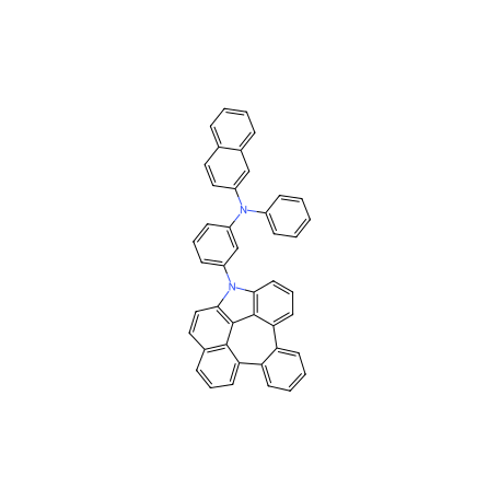 c1ccc(N(c2cccc(-n3c4cccc5c4c4c6c(cccc6ccc43)-c3ccccc3-5)c2)c2ccc3ccccc3c2)cc1